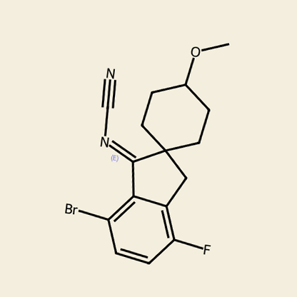 COC1CCC2(CC1)Cc1c(F)ccc(Br)c1/C2=N/C#N